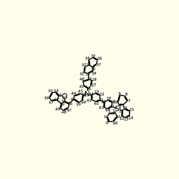 c1ccc([Si](c2ccccc2)(c2ccccc2)c2ccc(-c3ccc(N(c4ccc(-c5ccc6ccccc6c5)cc4)c4ccc(-c5cccc6c5oc5ccccc56)cc4)cc3)cc2)cc1